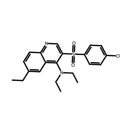 CCc1ccc2ncc(S(=O)(=O)c3ccc(Cl)cc3)c(N(CC)CC)c2c1